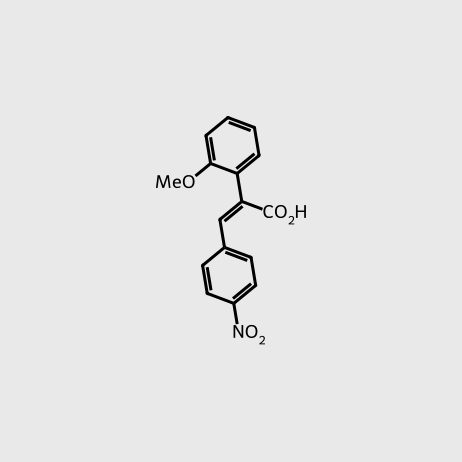 COc1ccccc1C(=Cc1ccc([N+](=O)[O-])cc1)C(=O)O